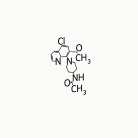 CC(=O)NC1CCN(c2c(C(C)=O)cc(Cl)c3cccnc23)CC1